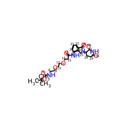 CC(C)(C)OC(=O)NCCOCCOCCC(=O)Nc1cccc2c1CN(C1CCC(=O)NC1=O)C2=O